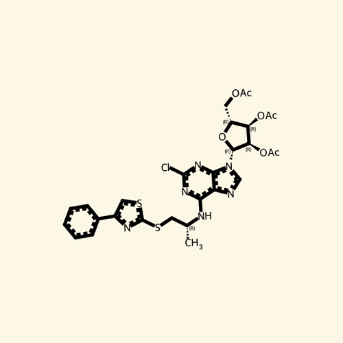 CC(=O)OC[C@H]1O[C@@H](n2cnc3c(N[C@H](C)CSc4nc(-c5ccccc5)cs4)nc(Cl)nc32)[C@H](OC(C)=O)[C@@H]1OC(C)=O